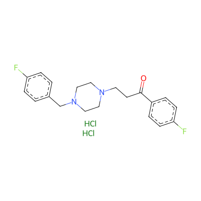 Cl.Cl.O=C(CCN1CCN(Cc2ccc(F)cc2)CC1)c1ccc(F)cc1